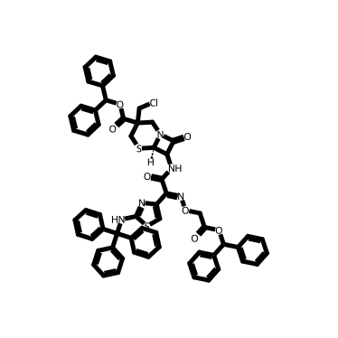 O=C(CON=C(C(=O)NC1C(=O)N2CC(CCl)(C(=O)OC(c3ccccc3)c3ccccc3)CS[C@H]12)c1csc(NC(c2ccccc2)(c2ccccc2)c2ccccc2)n1)OC(c1ccccc1)c1ccccc1